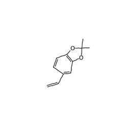 C=Cc1ccc2c(c1)OC(C)(C)O2